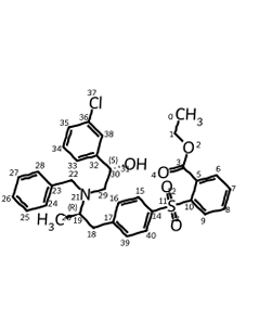 CCOC(=O)c1ccccc1S(=O)(=O)c1ccc(C[C@@H](C)N(Cc2ccccc2)C[C@@H](O)c2cccc(Cl)c2)cc1